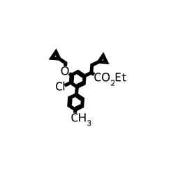 CCOC(=O)C(CC1CC1)c1cc(OCC2CC2)c(Cl)c(-c2ccc(C)cc2)c1